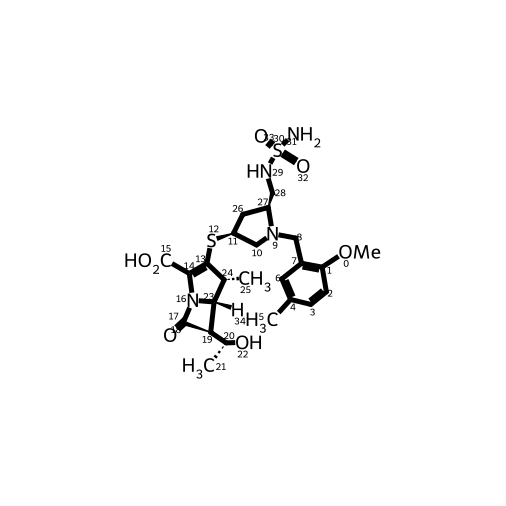 COc1ccc(C)cc1CN1C[C@@H](SC2=C(C(=O)O)N3C(=O)[C@H]([C@@H](C)O)[C@H]3[C@H]2C)C[C@H]1CNS(N)(=O)=O